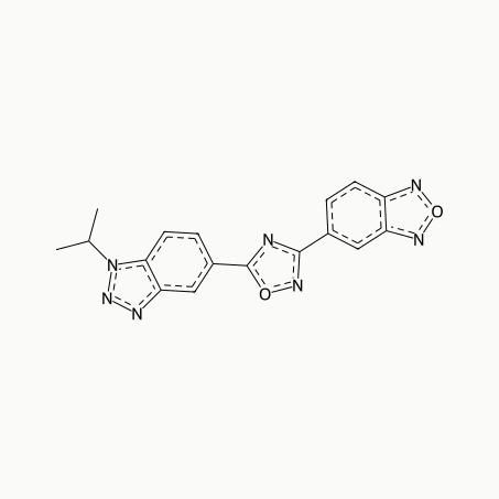 CC(C)n1nnc2cc(-c3nc(-c4ccc5nonc5c4)no3)ccc21